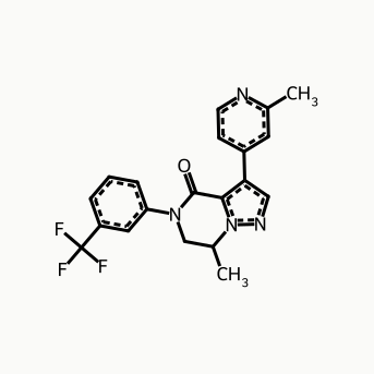 Cc1cc(-c2cnn3c2C(=O)N(c2cccc(C(F)(F)F)c2)CC3C)ccn1